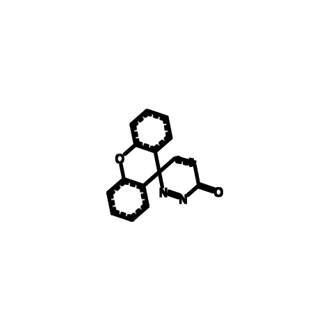 O=C1N=NC2(c3ccccc3Oc3ccccc32)c2ccccc21